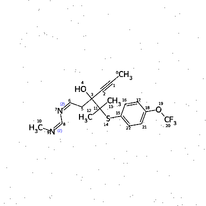 CC#CC(O)(C/C=N\C=N/C)C(C)(C)Sc1ccc(OC(F)(F)F)cc1